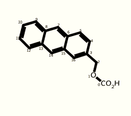 O=C(O)OCc1ccc2cc3ccccc3cc2c1